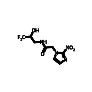 O=C(Cn1ccnc1[N+](=O)[O-])NCC(O)C(F)(F)F